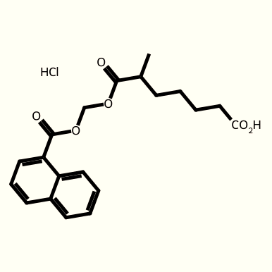 CC(CCCCC(=O)O)C(=O)OCOC(=O)c1cccc2ccccc12.Cl